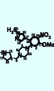 COc1cc(N2CCN(C[C@@H]3CCNC3)CC2)c(-c2cnn(C)c2)cc1[N+](=O)[O-]